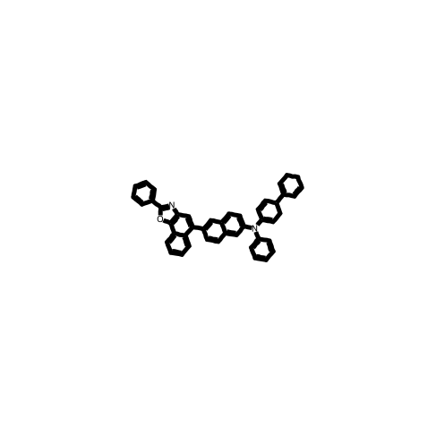 C1=CC(C2C=CC(N(c3ccccc3)c3ccc4cc(-c5cc6nc(-c7ccccc7)oc6c6ccccc56)ccc4c3)=CC2)=CCC1